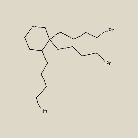 CC(C)CCCCC1CCCCC1(CCCCC(C)C)CCCCC(C)C